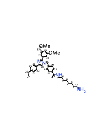 C=C(NCCCCCCCCN)c1ccc(Cn2cc(C(=C)/C=C\C(C)=C/C)nc2-c2cc(COC)cc(OC)c2)cc1